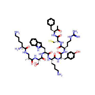 CC(=O)[C@H](Cc1ccccc1)NC(=O)[C@@H](CS)NC(=O)[C@@H](CCCNC(=N)N)NC(=O)[C@H](Cc1ccc(O)cc1)NC(=O)[C@H](CCCCN)NC(=O)[C@H](Cc1cc2ccccc2[nH]1)NC(=O)[C@H](CO)NC(=O)[C@H](C)CNC(=O)[C@@H](N)CCCCN